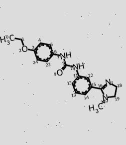 CCOc1ccc(NC(=O)Nc2cccc(C3=NCCN3C)c2)cc1